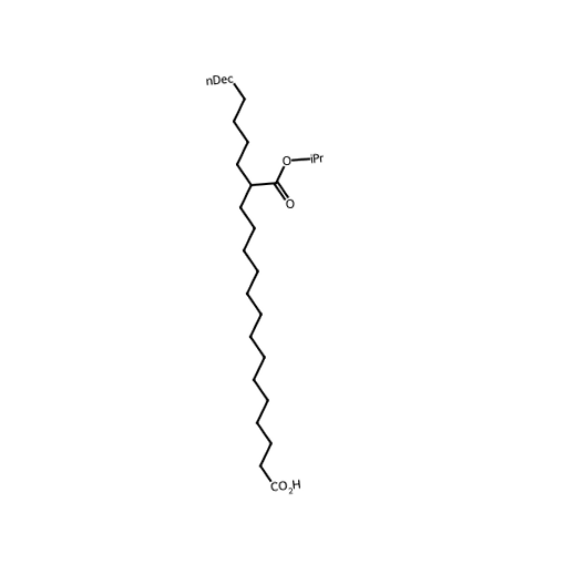 CCCCCCCCCCCCCCC(CCCCCCCCCCCCCC(=O)O)C(=O)OC(C)C